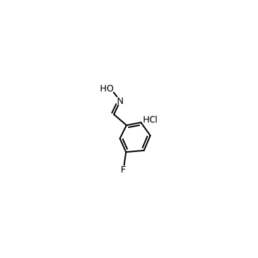 Cl.ON=Cc1cccc(F)c1